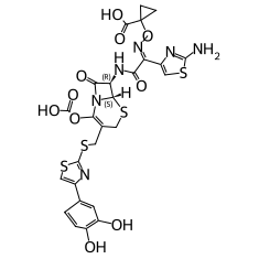 Nc1nc(C(=NOC2(C(=O)O)CC2)C(=O)N[C@@H]2C(=O)N3C(OC(=O)O)=C(CSc4nc(-c5ccc(O)c(O)c5)cs4)CS[C@@H]23)cs1